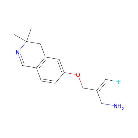 CC1(C)Cc2cc(OCC(=CF)CN)ccc2C=N1